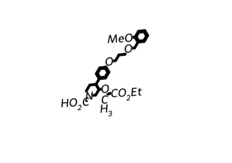 CCOC(=O)C(C)OC1CN(C(=O)O)CCC1c1ccc(OCCCOCc2ccccc2OC)cc1